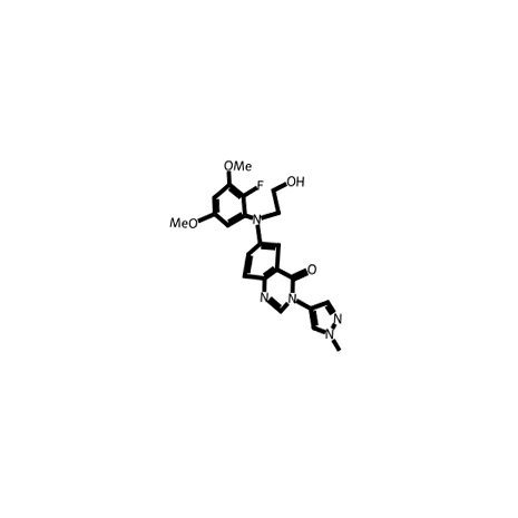 COc1cc(OC)c(F)c(N(CCO)c2ccc3ncn(-c4cnn(C)c4)c(=O)c3c2)c1